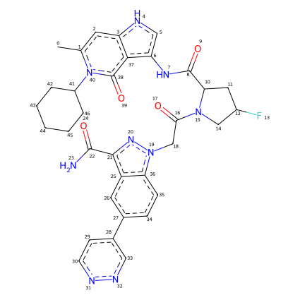 Cc1cc2[nH]cc(NC(=O)C3CC(F)CN3C(=O)Cn3nc(C(N)=O)c4cc(-c5ccnnc5)ccc43)c2c(=O)n1C1CCCCC1